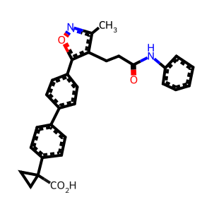 Cc1noc(-c2ccc(-c3ccc(C4(C(=O)O)CC4)cc3)cc2)c1CCC(=O)Nc1ccccc1